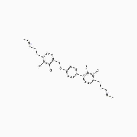 C/C=C/CCc1ccc(COc2ccc(-c3ccc(CC/C=C/C)c(Cl)c3F)cc2)c(Cl)c1F